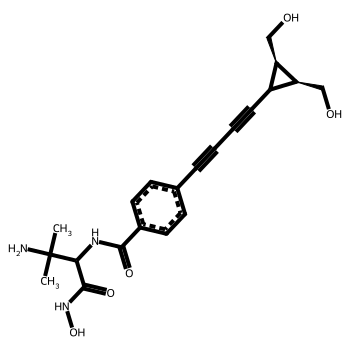 CC(C)(N)C(NC(=O)c1ccc(C#CC#CC2[C@@H](CO)[C@H]2CO)cc1)C(=O)NO